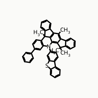 Cc1c2c(c3c4c1-c1ccccc1C4(C)c1ccc(-c4ccccc4)cc1N3c1ccc3c(c1)sc1ccccc13)C(C)(C)c1ccccc1-2